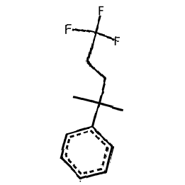 CC(C)(CCC(F)(F)F)c1cc[c]cc1